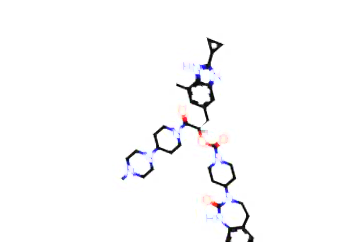 Cc1cc(C[C@@H](OC(=O)N2CCC(N3CCc4ccccc4NC3=O)CC2)C(=O)N2CCC(N3CCN(C)CC3)CC2)cc2nc(C3CC3)[nH]c12